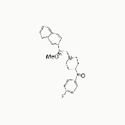 CO[C@H](CN1CCC(C(=O)c2ccc(F)cc2)CC1)c1ccc2ccccc2c1